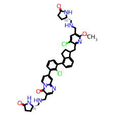 COc1nc(CC2CCc3c(-c4cccc(-c5ccn6c(=O)c(CNC[C@@H]7CCC(=O)N7)cnc6c5)c4Cl)cccc32)c(Cl)cc1CNC[C@@H]1CCC(=O)N1